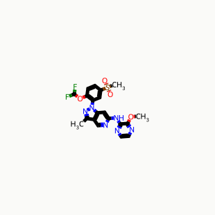 COc1nccnc1Nc1cc2c(cn1)c(C)nn2-c1cc(S(C)(=O)=O)ccc1OC(F)F